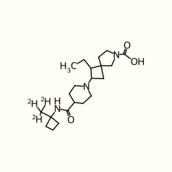 [2H]C([2H])([2H])C1(NC(=O)C2CCN(C3CC4(CCN(C(=O)O)C4)C3CC)CC2)CCC1